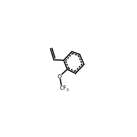 C=Cc1ccc[c]c1OC(F)(F)F